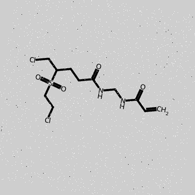 C=CC(=O)NCNC(=O)CCC(CCl)S(=O)(=O)CCCl